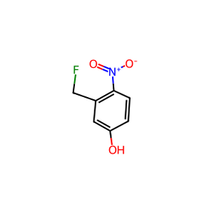 O=[N+]([O-])c1ccc(O)cc1CF